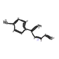 N=C(/C=C\C=O)c1ccc(O)cc1